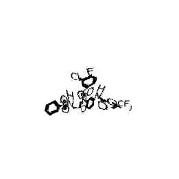 CC(C)(OC(=O)Nc1ccc2c(c1)N(S(=O)(=O)c1ccc(F)c(Cl)c1)C[C@H](CNS(=O)(=O)c1ccccc1)O2)C(F)(F)F